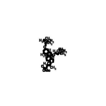 COC(=O)CC[C@@H](C)[C@H]1CC[C@H]2[C@@H]3[C@H](OCC[SH](C)(C)(C)C)C[C@@H]4C[C@H](OCC[SH](C)(C)(C)C)CC[C@]4(C)[C@H]3CC[C@]12C